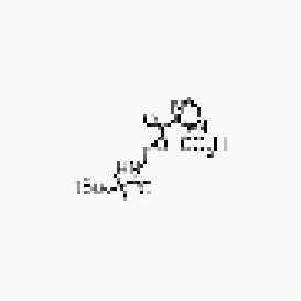 CC(C)(C)CC(C)(C)C(=O)NCCOC(=O)c1nccnc1C(=O)O